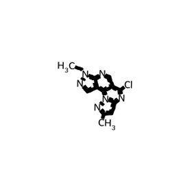 CCn1ncc2c1ncc1c(Cl)nc3cc(C)nn3c12